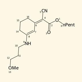 CCCCCOC(=O)/C(C#N)=C1\C=C(NCCCOC)CCC1